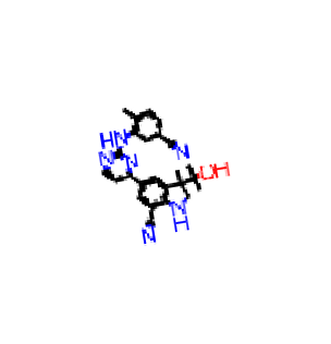 Cc1ccc(C#N)cc1Nc1nccc(-c2cc(C#N)c3c(c2)C(C)(C(C)(C)O)CN3)n1